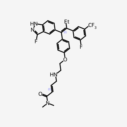 CC/C(=C(/c1ccc(OCCNC/C=C/C(=O)N(C)C)cc1)c1ccc2[nH]nc(F)c2c1)c1cc(F)cc(C(F)(F)F)c1